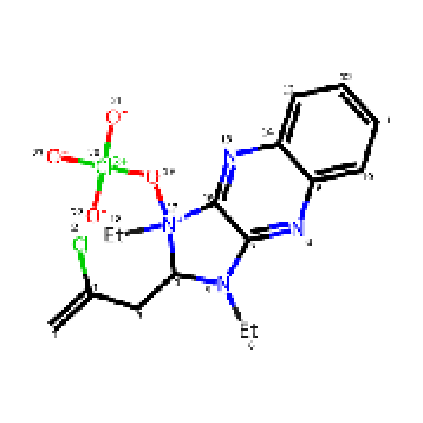 C=C(Cl)CC1N(CC)c2nc3ccccc3nc2[N+]1(CC)O[Cl+3]([O-])([O-])[O-]